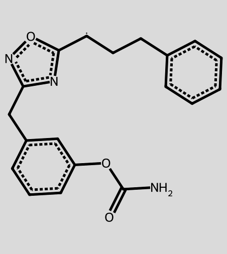 NC(=O)Oc1cccc(Cc2noc([CH]CCc3ccccc3)n2)c1